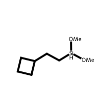 CO[SiH](CCC1CCC1)OC